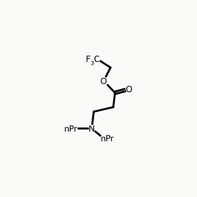 CCCN(CCC)CCC(=O)OCC(F)(F)F